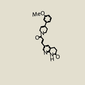 COc1cccc(C2=CCN(C(=O)C=Cc3cnc4c(c3)CCC(=O)N4)CC2)c1